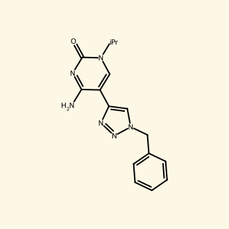 CC(C)n1cc(-c2cn(Cc3ccccc3)nn2)c(N)nc1=O